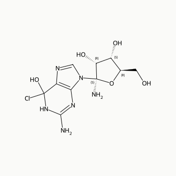 NC1=Nc2c(ncn2[C@]2(N)O[C@H](CO)[C@@H](O)[C@H]2O)C(O)(Cl)N1